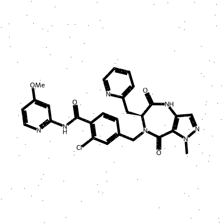 COc1ccnc(NC(=O)c2ccc(CN3C(=O)c4c(cnn4C)NC(=O)[C@@H]3Cc3ccccn3)cc2Cl)c1